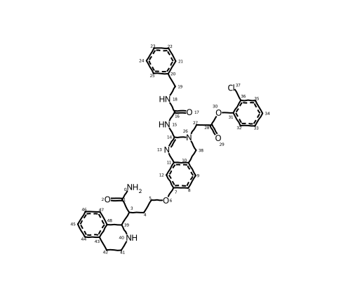 NC(=O)C(CCOc1ccc2c(c1)N=C(NC(=O)NCc1ccccc1)N(CC(=O)Oc1ccccc1Cl)C2)C1NCCc2ccccc21